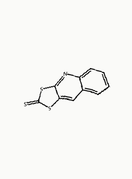 S=c1sc2cc3ccccc3nc2s1